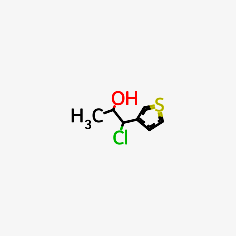 CC(O)C(Cl)c1ccsc1